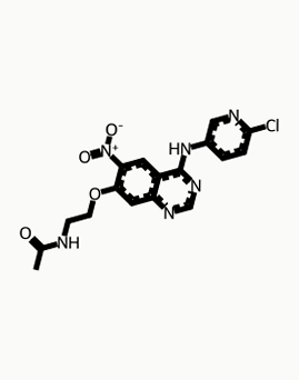 CC(=O)NCCOc1cc2ncnc(Nc3ccc(Cl)nc3)c2cc1[N+](=O)[O-]